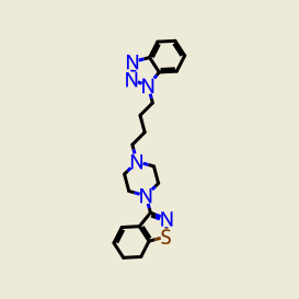 C1=Cc2c(N3CCN(CCCCn4nnc5ccccc54)CC3)nsc2CC1